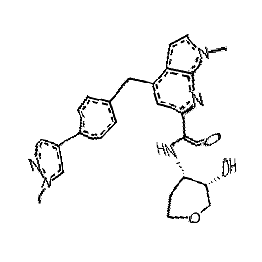 Cn1cc(-c2ccc(Cc3cc(C(=O)N[C@H]4CCOC[C@H]4O)nc4c3ccn4C)cc2)cn1